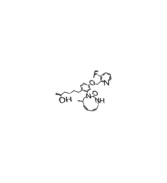 C=C(O)CCCCc1ccc(OCc2ncccc2F)cc1N1CC(=C)/C=C\C=C/CNC1=O